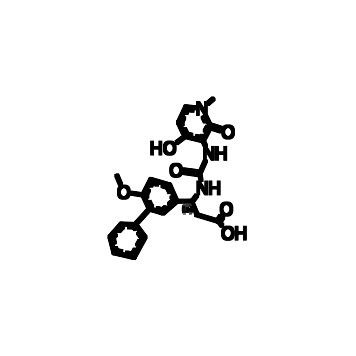 COc1ccc([C@H](CC(=O)O)NC(=O)Nc2c(O)ccn(C)c2=O)cc1-c1ccccc1